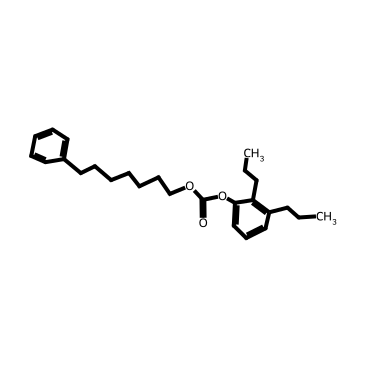 CCCc1cccc(OC(=O)OCCCCCCCc2ccccc2)c1CCC